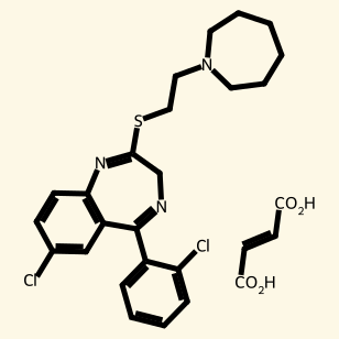 Clc1ccc2c(c1)C(c1ccccc1Cl)=NCC(SCCN1CCCCCC1)=N2.O=C(O)/C=C/C(=O)O